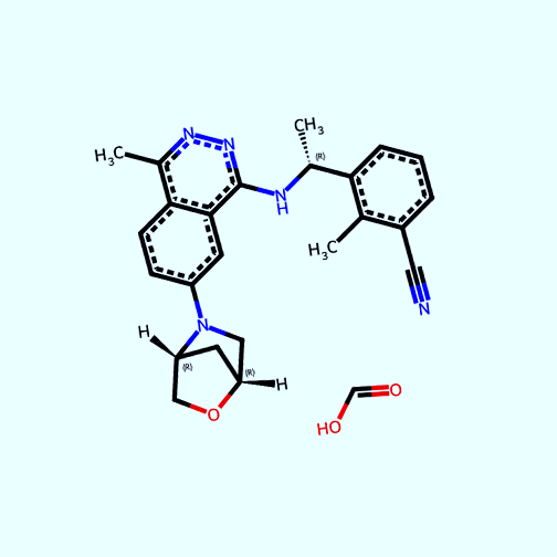 Cc1c(C#N)cccc1[C@@H](C)Nc1nnc(C)c2ccc(N3C[C@H]4C[C@@H]3CO4)cc12.O=CO